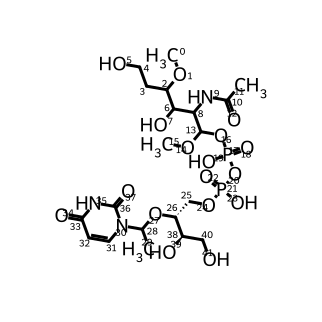 COC(CCO)C(O)C(NC(C)=O)C(OC)OP(=O)(O)OP(=O)(O)OC[C@@H](OC(C)n1ccc(=O)[nH]c1=O)[C@H](O)CO